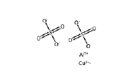 O=S(=O)([O-])[O-].O=S(=O)([O-])[O-].[Al+3].[Cu+2]